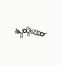 Cc1ccc2c(c1)CCN(C[C@@H](O)CN1CCOc3ccc(Nc4cnn(C)c4)cc3C1=O)C2